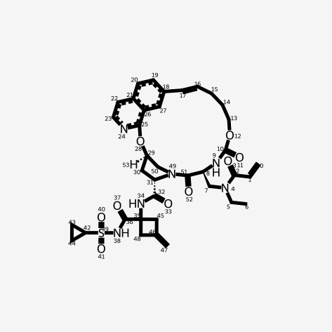 C=CC(=O)N(CC)C[C@@H]1NC(=O)OCCC/C=C/c2ccc3ccnc(c3c2)O[C@@H]2C[C@@H](C(=O)NC3(C(=O)NS(=O)(=O)C4CC4)CC(=C)C3)N(C2)C1=O